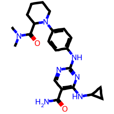 CN(C)C(=O)C1CCCCN1c1ccc(Nc2ncc(C(N)=O)c(NC3CC3)n2)cc1